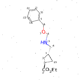 CCOC(=O)[C@H]1C[C@H](CNCOCc2ccccc2)C1